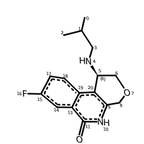 CC(C)CN[C@H]1COCc2[nH]c(=O)c3cc(F)ccc3c21